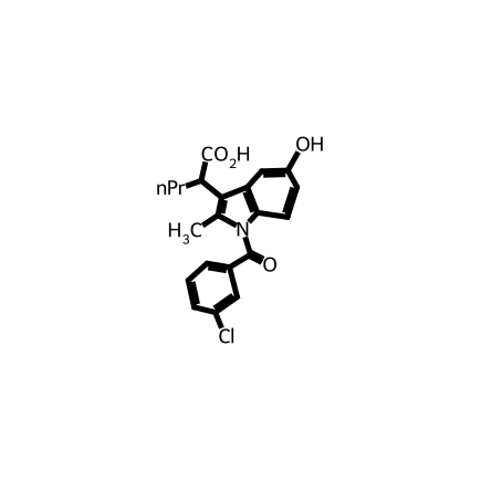 CCCC(C(=O)O)c1c(C)n(C(=O)c2cccc(Cl)c2)c2ccc(O)cc12